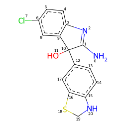 NC1=Nc2ccc(Cl)cc2C1(O)c1ccc2c(c1)SCN2